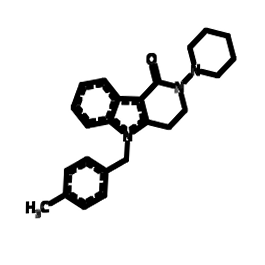 Cc1ccc(Cn2c3c(c4ccccc42)C(=O)N(N2CCCCC2)CC3)cc1